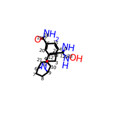 N=C(CCCN1C2CCC1CC(c1cccc(C(N)=O)c1)C2)NO